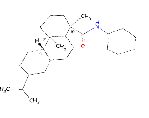 CC(C)C1CC[C@H]2C(CCC3[C@](C)(C(=O)NC4CCCCC4)CCC[C@@]32C)C1